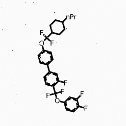 CCCC1CCC(C(F)(F)Oc2ccc(-c3ccc(C(F)(F)Oc4ccc(F)c(F)c4)c(F)c3)cc2)CC1